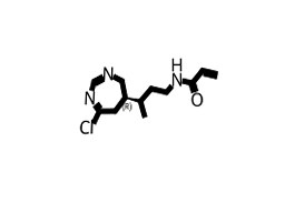 C=CC(=O)NCCC(C)[C@@H]1CN=CN=C(Cl)C1